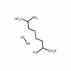 NC(CSSCC(N)C(=O)O)C(=O)O.SS